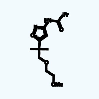 COCCOCC(C)(C)c1cc(NC(=O)C(C)C)no1